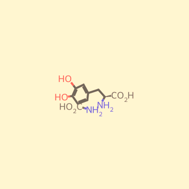 NC(=O)O.N[C@@H](Cc1ccc(O)c(O)c1)C(=O)O